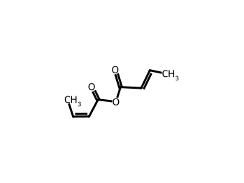 CC=CC(=O)OC(=O)/C=C\C